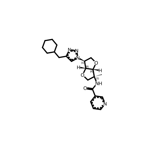 C[C@]1(NC(=O)c2cccnc2)CO[C@@H]2[C@@H](n3cc(CC4CCCCC4)nn3)CO[C@@H]21